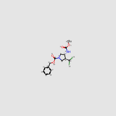 CC(C)(C)OC(=O)N[C@H]1CN(C(=O)OCc2ccccc2)C[C@@H]1C(F)F